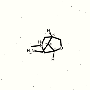 CN1C[C@@H]2CO[C@H](C1)[C@H]2CN